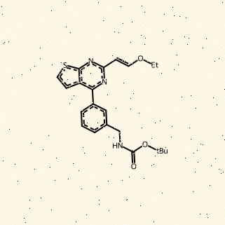 CCOC=Cc1nc(-c2cccc(CNC(=O)OC(C)(C)C)c2)c2ccsc2n1